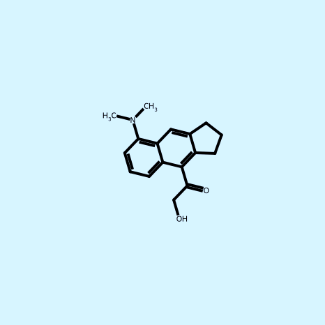 CN(C)c1cccc2c(C(=O)CO)c3c(cc12)CCC3